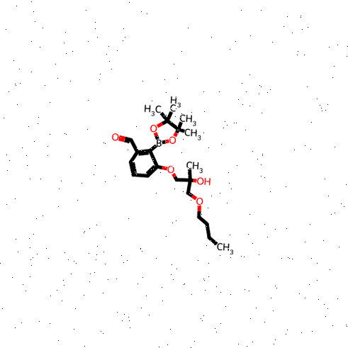 CCCCOCC(C)(O)COc1cccc(C=O)c1B1OC(C)(C)C(C)(C)O1